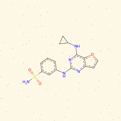 NS(=O)(=O)c1cccc(Nc2nc(NC3CC3)c3occc3n2)c1